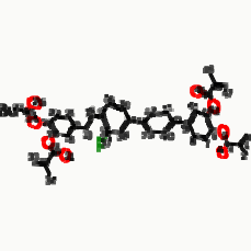 C=C(C)C(=O)Oc1ccc(-c2ccc(-c3ccc(/C=C/c4ccc(OC(=O)C(C)(C)C)c(OC(=O)C(=C)C)c4)c(F)c3)cc2)cc1OC(=O)C(=C)C